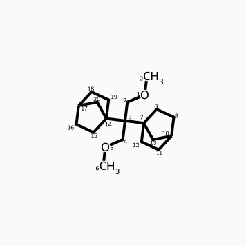 COCC(COC)(C12CCC(CC1)C2)C12CCC(CC1)C2